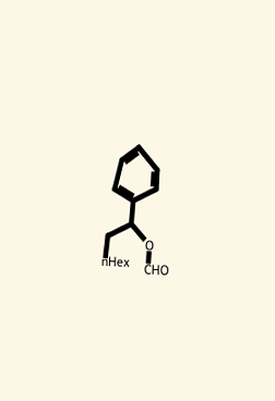 CCCCCCCC(OC=O)c1ccccc1